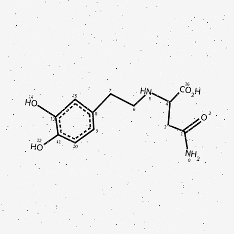 NC(=O)CC(NCCc1ccc(O)c(O)c1)C(=O)O